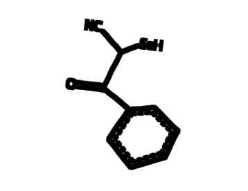 N#CC([SeH])C(=O)c1ccccc1